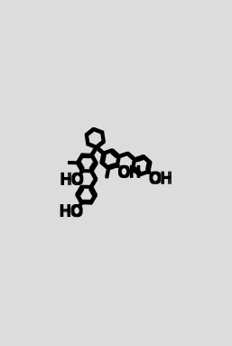 Cc1cc(C2(c3cc(C)c(O)c(Cc4ccc(O)cc4)c3)CCCCC2)cc(Cc2ccc(O)cc2)c1O